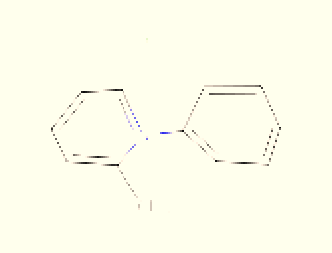 Cc1cccc[n+]1-c1ccccc1.[Cl-]